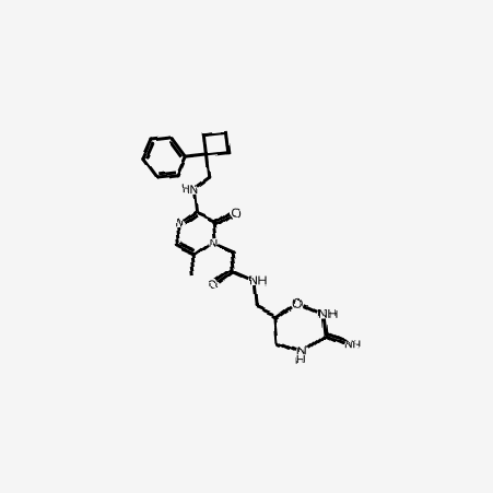 Cc1cnc(NCC2(c3ccccc3)CCC2)c(=O)n1CC(=O)NCC1CNC(=N)NO1